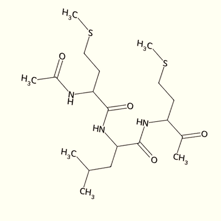 CSCCC(NC(=O)C(CC(C)C)NC(=O)C(CCSC)NC(C)=O)C(C)=O